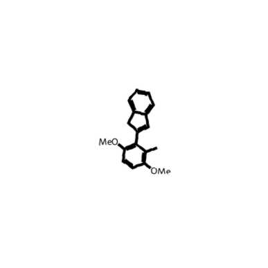 COc1ccc(OC)c(C2=Cc3ccccc3C2)c1C